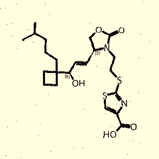 CC(C)CCCC1([C@H](O)C=C[C@H]2COC(=O)N2CCSc2nc(C(=O)O)cs2)CCC1